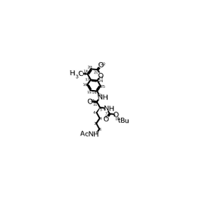 CC(=O)NCCCC[C@H](NC(=O)OC(C)(C)C)C(=O)Nc1ccc2c(C)cc(=O)oc2c1